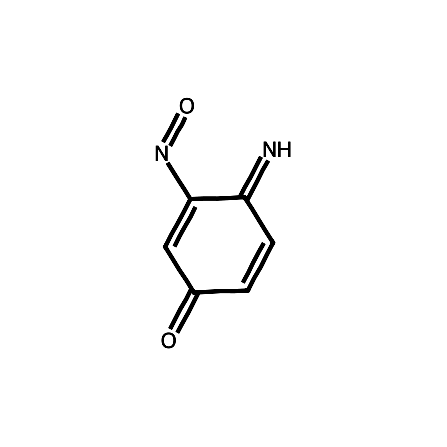 N=C1C=CC(=O)C=C1N=O